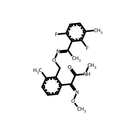 CNC(=O)/C(=N/OC)c1cccc(C)c1CO/N=C(\C)c1c(F)ccc(C)c1F